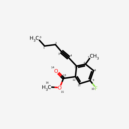 CCCC#Cc1c(C)cc(F)cc1C(=O)OC